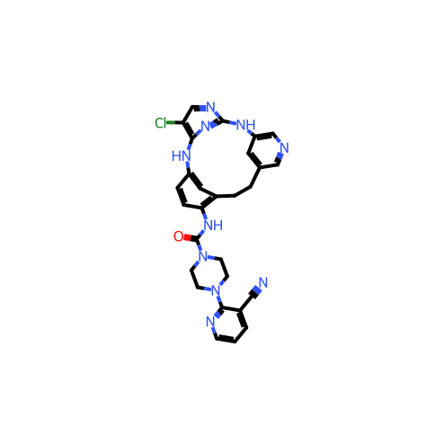 N#Cc1cccnc1N1CCN(C(=O)Nc2ccc3cc2CCc2cncc(c2)Nc2ncc(Cl)c(n2)N3)CC1